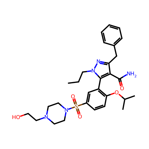 CCCn1nc(Cc2ccccc2)c(C(N)=O)c1-c1cc(S(=O)(=O)N2CCN(CCO)CC2)ccc1OC(C)C